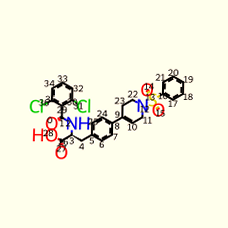 O=C(N[C@@H](Cc1ccc(C2=CCN(S(=O)(=O)c3ccccc3)CC2)cc1)C(=O)O)c1c(Cl)cccc1Cl